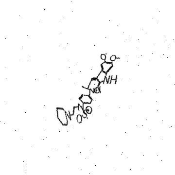 COc1cc2c(cc1OC)C(=CC(C)Nc1ccc(N(CCN3CCCCC3)S(C)(=O)=O)cc1)C(=O)N2